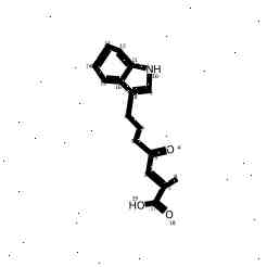 C/C(=C\C(=O)CCCc1c[nH]c2ccccc12)C(=O)O